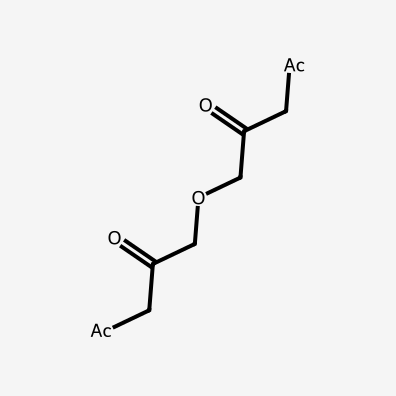 CC(=O)CC(=O)COCC(=O)CC(C)=O